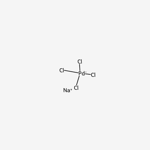 [Cl][Pd-]([Cl])([Cl])[Cl].[Na+]